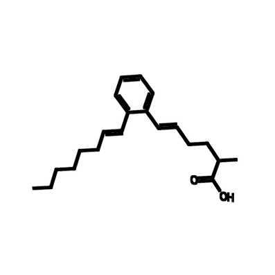 CCCCCCC=Cc1ccccc1C=CCCC(C)C(=O)O